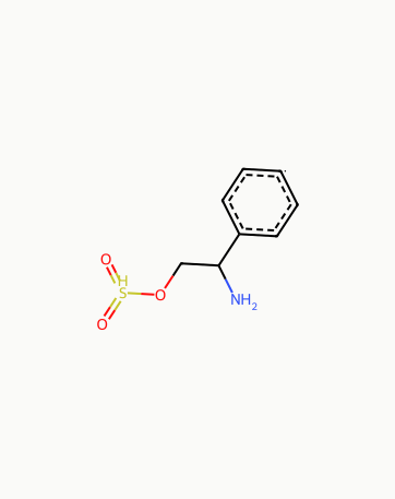 NC(CO[SH](=O)=O)c1cc[c]cc1